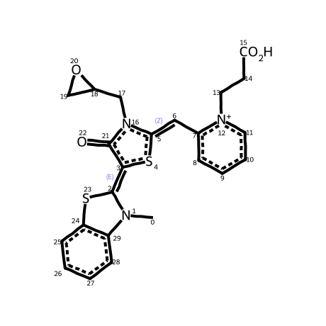 CN1/C(=c2\s/c(=C\c3cccc[n+]3CCC(=O)O)n(CC3CO3)c2=O)Sc2ccccc21